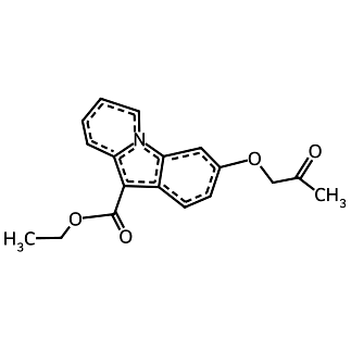 CCOC(=O)c1c2ccc(OCC(C)=O)cc2n2ccccc12